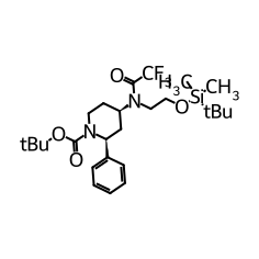 CC(C)(C)OC(=O)N1CC[C@@H](N(CCO[Si](C)(C)C(C)(C)C)C(=O)C(F)(F)F)C[C@H]1c1ccccc1